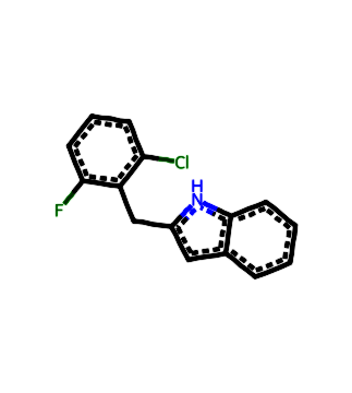 Fc1cccc(Cl)c1Cc1cc2ccccc2[nH]1